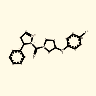 O=C(N1CCC(Oc2ccc(F)cc2)C1)N1N=CCC1c1ccccc1